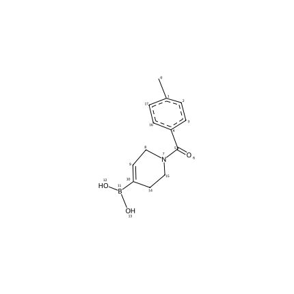 Cc1ccc(C(=O)N2CC=C(B(O)O)CC2)cc1